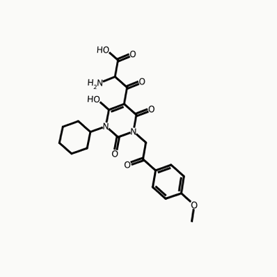 COc1ccc(C(=O)Cn2c(=O)c(C(=O)C(N)C(=O)O)c(O)n(C3CCCCC3)c2=O)cc1